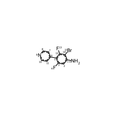 Nc1cc(F)c(-c2ccncc2)c(F)c1Br